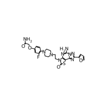 NC(=O)COc1ccc(N2CCN(CCn3c(=O)sc4c3nc(N)n3nc(-c5ccco5)nc43)CC2)c(F)c1